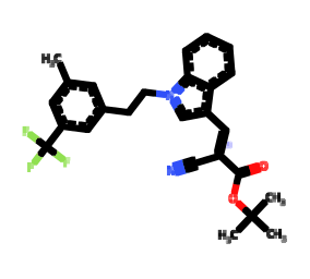 Cc1cc(CCn2cc(/C=C(\C#N)C(=O)OC(C)(C)C)c3ccccc32)cc(C(F)(F)F)c1